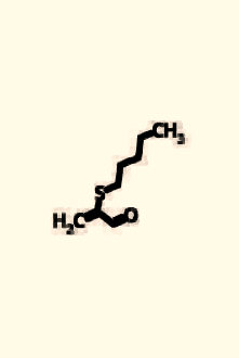 C=C(C=O)SCCCCC